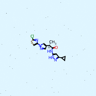 C[C@H](C(=O)Nc1cc(C2CC2)n[nH]1)c1cnn(-c2csc(Cl)n2)c1